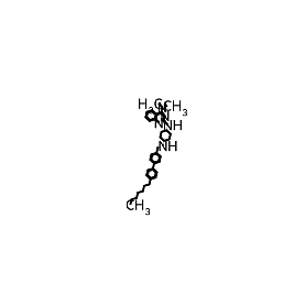 CCCCCCCc1ccc(-c2ccc(CN[C@H]3CC[C@@H](Nc4nc(N(C)C)c5ccccc5n4)CC3)cc2)cc1